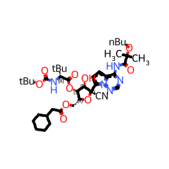 CCCCOC(C)(C)C(=O)Nc1ncnn2c([C@]3(C#N)O[C@H](COC(=O)CC4CCCCC4)[C@@H](OC(=O)[C@H](NC(=O)OC(C)(C)C)C(C)(C)C)[C@H]3O)ccc12